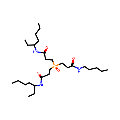 CCCCCNC(=O)CCP(=O)(CCC(=O)NC(CC)CCCC)CCC(=O)NC(CC)CCCC